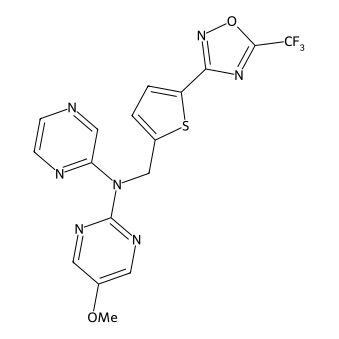 COc1cnc(N(Cc2ccc(-c3noc(C(F)(F)F)n3)s2)c2cnccn2)nc1